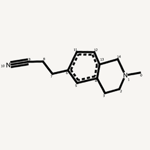 CN1CCc2cc(CCC#N)ccc2C1